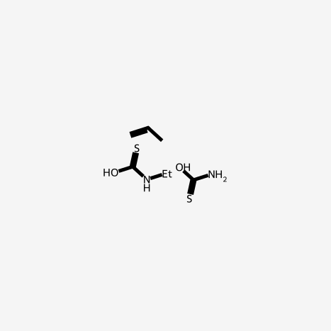 C=CC.CCNC(O)=S.NC(O)=S